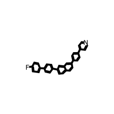 Fc1ccc(-c2ccc(-c3ccc4ccc(-c5ccc(-c6ccncc6)cc5)cc4c3)cc2)cc1